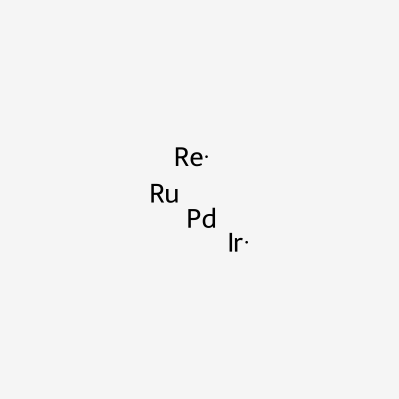 [Ir].[Pd].[Re].[Ru]